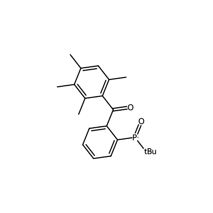 Cc1cc(C)c(C(=O)c2ccccc2[P](=O)C(C)(C)C)c(C)c1C